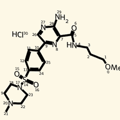 COCCCNC(=O)c1nc(-c2ccc(S(=O)(=O)N3CCN(C)CC3)cc2)cnc1N.Cl